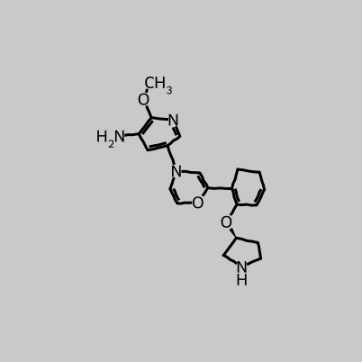 COc1ncc(N2C=COC(C3=C(O[C@H]4CCNC4)C=CCC3)=C2)cc1N